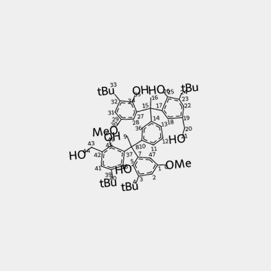 COc1cc(C(C)(C)C)c(O)c(C(C)(c2cccc(C(C)(c3cc(CO)cc(C(C)(C)C)c3O)c3cc(OC)cc(C(C)(C)C)c3O)c2)c2cc(C(C)(C)C)cc(CO)c2O)c1